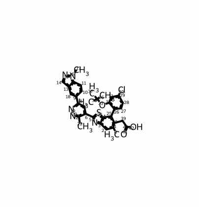 Cc1cc2nc(-c3cc(-c4ccc5c(cnn5C)c4)nnc3C)sc2c(-c2ccc(Cl)cc2OC(C)(C)C)c1CC(=O)O